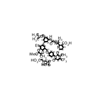 C/C(=N\NC(=O)Nc1cc(F)cc(F)c1)c1ncccc1C(=O)O.CCc1ccc(COc2ccc(-n3c(=O)cc(C(F)(F)F)n(C)c3=O)cc2)c(OC(C)C(=O)OC)c1.C[S+](C)C.O=C(O)CNCP(=O)([O-])O